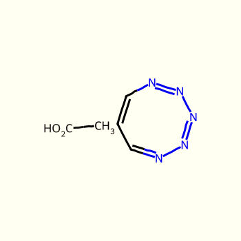 C1=CN=NN=NN=C1.CC(=O)O